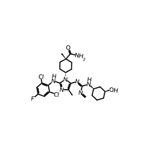 C=N/C(=N\c1c(C)nc(Nc2c(Cl)cc(F)cc2Cl)n1[C@H]1CC[C@@](C)(C(N)=O)CC1)N[C@@H]1CCC[C@H](O)C1